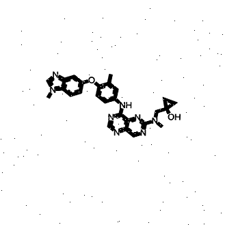 Cc1cc(Nc2ncnc3cnc(N(C)CC4(O)CC4)nc23)ccc1Oc1ccc2c(c1)ncn2C